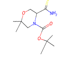 CC(C)(C)OC(=O)N1CC(C)(C)OCC1C(N)=S